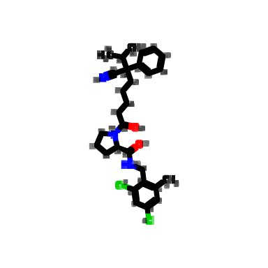 Cc1cc(Cl)cc(Cl)c1CNC(=O)[C@H]1CCCN1C(=O)CCCCC(C#N)(c1ccccc1)C(C)C